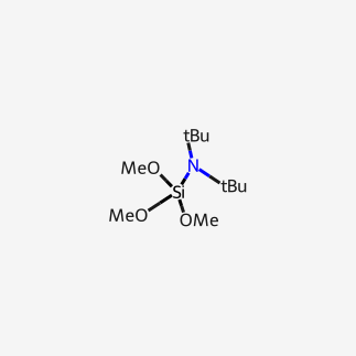 CO[Si](OC)(OC)N(C(C)(C)C)C(C)(C)C